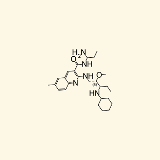 CCC(N)NC(=O)c1cc2cc(C)ccc2nc1NC[C@H](OC)C(CC)NC1CCCCC1